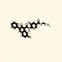 CCOC(=O)c1cnc(NC(=O)c2c(C)c(-c3ccccc3)cc3ccc(Br)cc23)c(F)c1